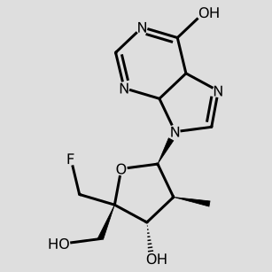 C[C@@H]1[C@H](N2C=NC3C(O)=NC=NC32)O[C@@](CO)(CF)[C@H]1O